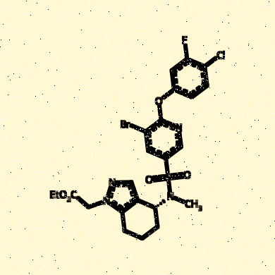 CCOC(=O)Cn1ncc2c1CCC[C@H]2N(C)S(=O)(=O)c1cnc(Oc2ccc(Cl)c(F)c2)c(Br)c1